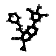 O=Cc1c(C2CC2)nc2ccc(-c3cc(Cl)c(O)c(Cl)c3)cc2c1NCC1CCNCC1